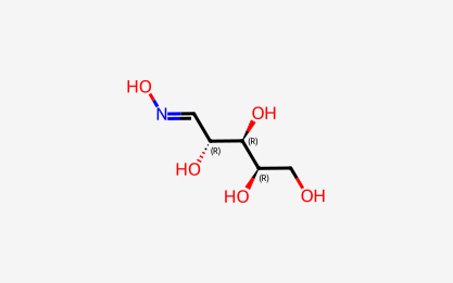 OC[C@@H](O)[C@H](O)[C@H](O)C=NO